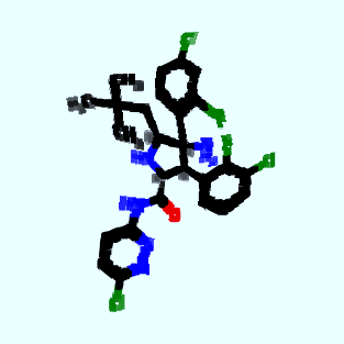 CC(C)(C)C[C@@H]1N[C@@H](C(=O)Nc2ccc(Cl)nn2)[C@H](c2cccc(Cl)c2F)[C@@]1(N)c1ccc(Cl)cc1F